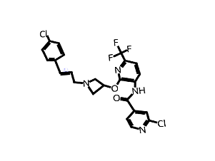 O=C(Nc1ccc(C(F)(F)F)nc1OC1CN(C/C=C/c2ccc(Cl)cc2)C1)c1ccnc(Cl)c1